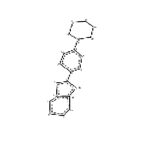 c1ccn2cc(-c3ccc(N4CCCCC4)cc3)nc2c1